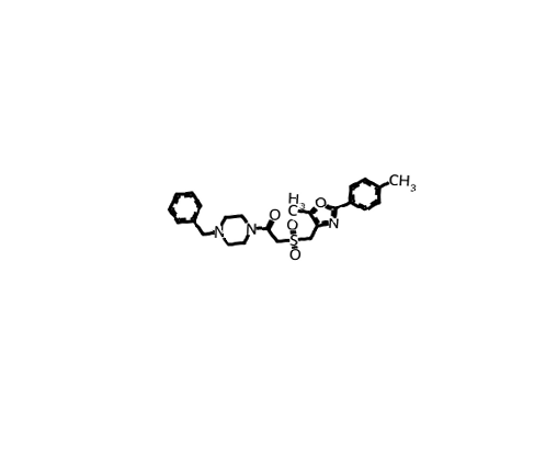 Cc1ccc(-c2nc(CS(=O)(=O)CC(=O)N3CCN(Cc4ccccc4)CC3)c(C)o2)cc1